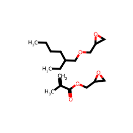 C=C(C)C(=O)OCC1CO1.CCCCC(CC)COCC1CO1